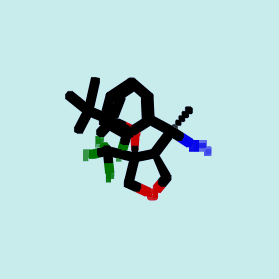 CC(C)(C)[Si](C)(C)O[C@]1(C(F)(F)F)COC[C@@H]1[C@](C)(N)c1ccccc1F